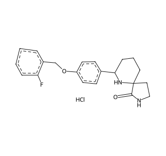 Cl.O=C1NCCC12CCCC(c1ccc(OCc3ccccc3F)cc1)N2